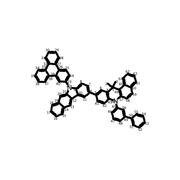 CC1(C)c2cc(-c3ccc4c(c3)c3cc5ccccc5cc3n4-c3ccc4c5ccccc5c5ccccc5c4c3)ccc2N(c2cccc(-c3ccccc3)c2)c2ccc3ccccc3c21